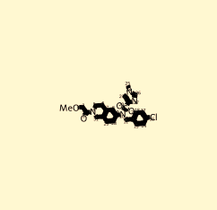 COCC(=O)N1CCc2cc(N(Cc3ccc(Cl)cc3)S(=O)(=O)c3cn(C)cn3)ccc2C1